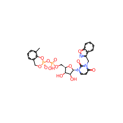 Cc1cccc2c1OP(=O)(OP(=O)(O)OC[C@H]1O[C@@H](n3ccc(=O)n(Cc4noc5ccccc45)c3=O)[C@@H](O)[C@H]1O)OC2